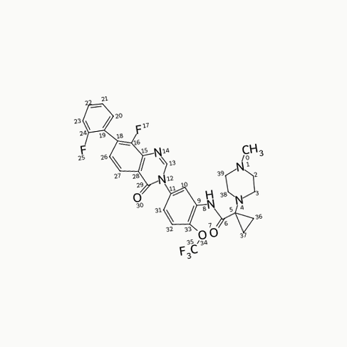 CN1CCN(C2(C(=O)Nc3cc(-n4cnc5c(F)c(-c6ccccc6F)ccc5c4=O)ccc3OC(F)(F)F)CC2)CC1